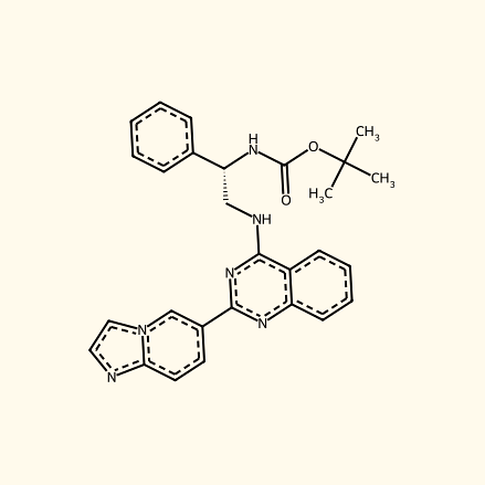 CC(C)(C)OC(=O)N[C@H](CNc1nc(-c2ccc3nccn3c2)nc2ccccc12)c1ccccc1